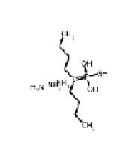 CCCCS(CCCC)=P(O)(O)S.N.N.N